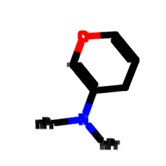 CCCN(CCC)C1=[C]OC=CC1